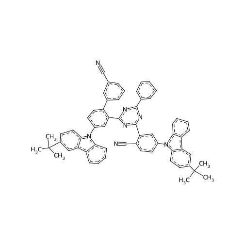 CC(C)(C)c1ccc2c(c1)c1ccccc1n2-c1ccc(C#N)c(-c2nc(-c3ccccc3)nc(-c3cc(-n4c5ccccc5c5cc(C(C)(C)C)ccc54)ccc3-c3cccc(C#N)c3)n2)c1